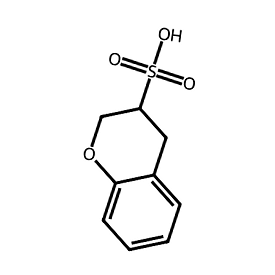 O=S(=O)(O)C1COc2ccccc2C1